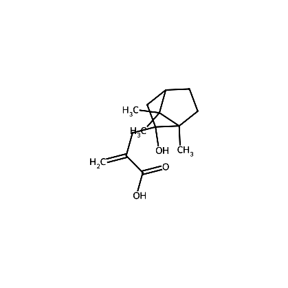 C=C(CC1(O)CC2CCC1(C)C2(C)C)C(=O)O